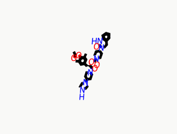 CC(=O)Oc1c(C)cc(C[C@@H](OC(=O)N2CCC(N3CCc4ccccc4NC3=O)CC2)C(=O)N2CCC(N3CCNCC3)CC2)cc1C